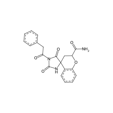 NC(=O)C1CC2(NC(=O)N(C(=O)Cc3ccccc3)C2=O)c2ccccc2O1